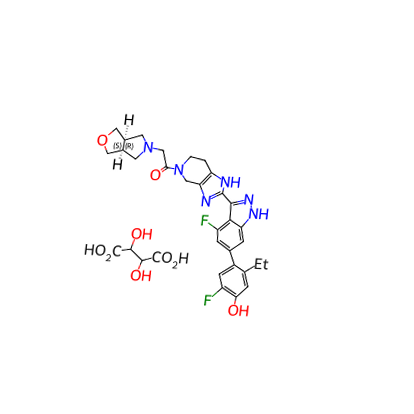 CCc1cc(O)c(F)cc1-c1cc(F)c2c(-c3nc4c([nH]3)CCN(C(=O)CN3C[C@H]5COC[C@H]5C3)C4)n[nH]c2c1.O=C(O)C(O)C(O)C(=O)O